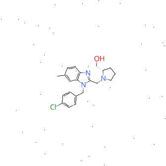 Cc1ccc2nc(CN3CCC[C@H]3CO)n(Cc3ccc(Cl)cc3)c2c1